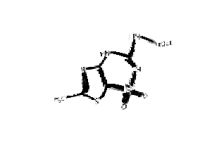 CCCCCCCCNC1=NS(=O)(=O)c2sc(C)nc2N1